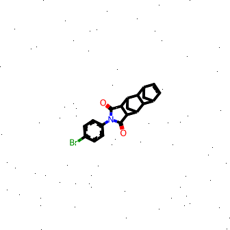 O=C1C2C3CC(C2C(=O)N1c1ccc(Br)cc1)C1C2C=CC(C2)C31